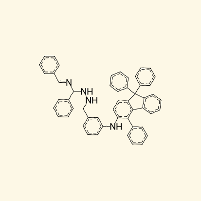 C(=N\C(NNCc1cccc(Nc2ccc3c(c2-c2ccccc2)-c2ccccc2C3(c2ccccc2)c2ccccc2)c1)c1ccccc1)/c1ccccc1